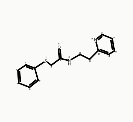 O=C(CSc1ccccc1)NCCc1ccccn1